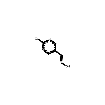 ON=Cc1cnc(Cl)nc1